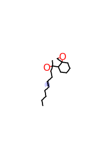 CCCC/C=C/CC1OC1(C)C1CCCCC12CO2